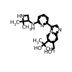 CC(C)(O)c1cn2c(-c3cccc(NC4CNC4(C)C)n3)cnc2cc1CO